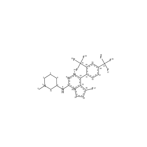 CN1CCCC(Nc2nnc(-c3ccc(C(F)(F)F)cc3C(F)(F)F)c3c(F)ccn23)C1